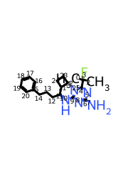 CC(C)(F)c1nc(N)nc(NC(CCCc2ccccc2)C2CCC2)n1